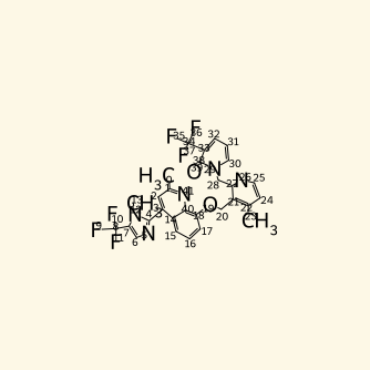 Cc1cc(-c2ncc(C(F)(F)F)n2C)c2cccc(OCc3c(C)ccnc3Cn3cccc(C(F)(F)F)c3=O)c2n1